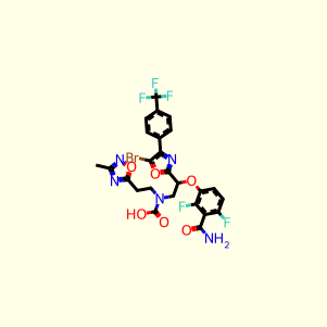 Cc1noc(CCN(CC(Oc2ccc(F)c(C(N)=O)c2F)c2nc(-c3ccc(C(F)(F)F)cc3)c(Br)o2)C(=O)O)n1